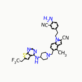 Cc1c(CN2CCC(Nc3ncnc4sc(CC(F)(F)F)cc34)CC2)ccc2c1cc(C#N)n2CCc1ccc(N)c(C#N)c1